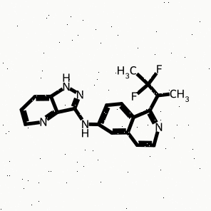 CC(c1nccc2cc(Nc3n[nH]c4cccnc34)ccc12)C(C)(F)F